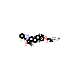 CC(C)C1=C2[C@H]3CC[C@@H]4[C@@]5(C)CC[C@H](OC(=O)CC(C)(C)C(=O)O)C(C)(C)[C@@H]5CC[C@@]4(C)[C@]3(C)CC[C@@]2(NC(=O)c2ccccc2F)CC1=O